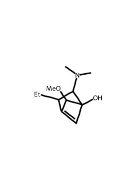 CCC1C2=CC(O)(C2OC)C1N(C)C